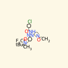 C=CC(=O)N1CCCC(n2c(NC(=O)c3ccc(Cl)cc3)nc3cc(CN(C(=O)C(F)(F)F)[C@@H](C)C(C)(C)C)ccc32)C1